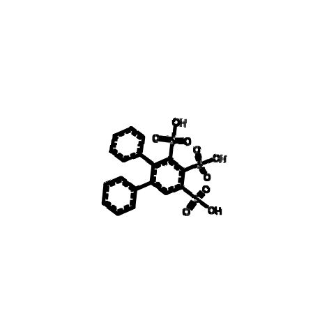 O=S(=O)(O)c1cc(-c2ccccc2)c(-c2ccccc2)c(S(=O)(=O)O)c1S(=O)(=O)O